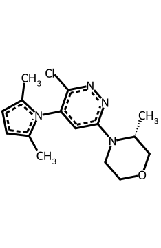 Cc1ccc(C)n1-c1cc(N2CCOC[C@H]2C)nnc1Cl